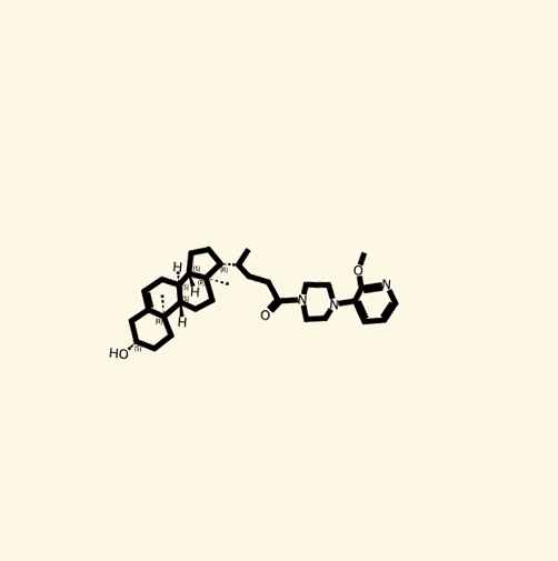 COc1ncccc1N1CCN(C(=O)CCC(C)[C@H]2CC[C@H]3[C@@H]4CC=C5C[C@@H](O)CC[C@]5(C)[C@H]4CC[C@]23C)CC1